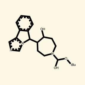 CC(C)(C)OC(O)N1CCC(O)C(C2c3ccccc3-c3cncn32)CC1